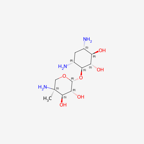 C[C@]1(N)CO[C@H](O[C@@H]2[C@@H](O)[C@H](O)[C@@H](N)C[C@H]2N)[C@H](O)[C@H]1O